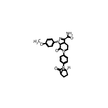 COc1ccc(-n2nc(C(N)=O)c3c2C(=O)N(c2ccc(N4C(=O)C5CC[C@H]4C5)cc2)CC3)cc1